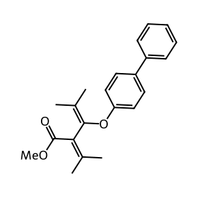 COC(=O)C(=C(C)C)C(Oc1ccc(-c2ccccc2)cc1)=C(C)C